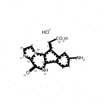 Cl.Nc1ccc2c(c1)/c(=C\C(=O)O)c1c2[nH]c(=O)c2nccn21